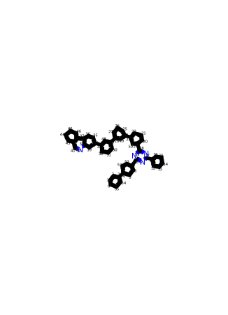 c1ccc(-c2ccc(-c3nc(-c4ccccc4)nc(-c4cccc(-c5cccc(-c6cccc(-c7ccc8c(c7)ncc7ccccc78)c6)c5)c4)n3)cc2)cc1